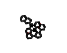 c1ccc(-c2cccc(-c3ccccc3)c2B2c3ccccc3N(c3ccc4ccccc4c3)c3ccccc32)cc1